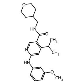 COc1cccc(Nc2cc(C(C)C)c(C(=O)NCC3CCOCC3)cn2)c1